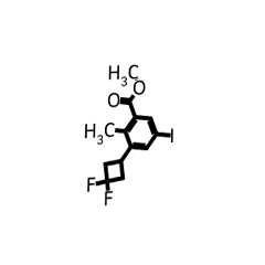 COC(=O)c1cc(I)cc(C2CC(F)(F)C2)c1C